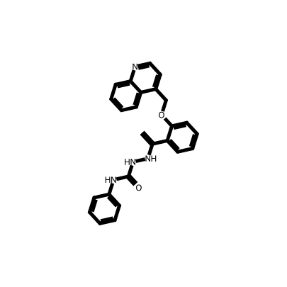 C=C(NNC(=O)Nc1ccccc1)c1ccccc1OCc1ccnc2ccccc12